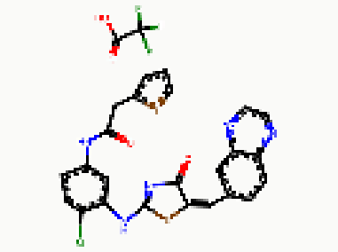 O=C(Cc1cccs1)Nc1ccc(Cl)c(NC2=NC(=O)C(=Cc3ccc4nccnc4c3)S2)c1.O=C(O)C(F)(F)F